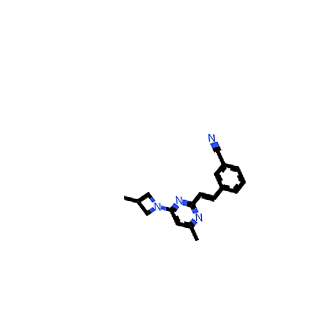 Cc1cc(N2CC(C)C2)nc(C=Cc2cccc(C#N)c2)n1